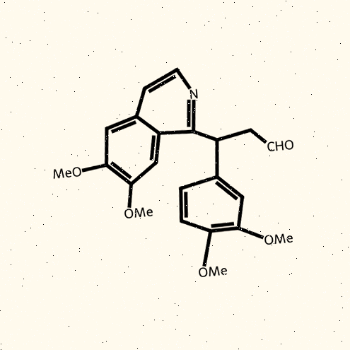 COc1ccc(C(CC=O)c2nccc3cc(OC)c(OC)cc23)cc1OC